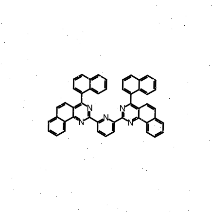 c1cc(-c2nc(-c3cccc4ccccc34)c3ccc4ccccc4c3n2)nc(-c2nc(-c3cccc4ccccc34)c3ccc4ccccc4c3n2)c1